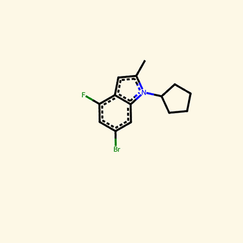 Cc1cc2c(F)cc(Br)cc2n1C1CCCC1